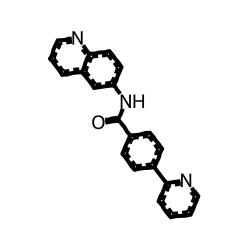 O=C(Nc1ccc2ncccc2c1)c1ccc(-c2ccccn2)cc1